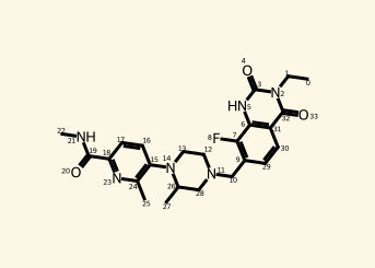 CCn1c(=O)[nH]c2c(F)c(CN3CCN(c4ccc(C(=O)NC)nc4C)C(C)C3)ccc2c1=O